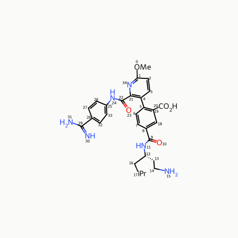 COc1ccc(-c2ccc(C(=O)N[C@H](CCN)CC(C)C)cc2C(=O)O)c(C(=O)Nc2ccc(C(=N)N)cc2)n1